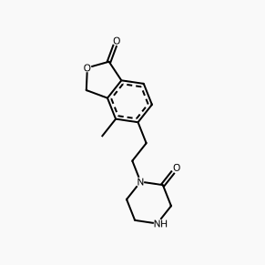 Cc1c(CCN2CCNCC2=O)ccc2c1COC2=O